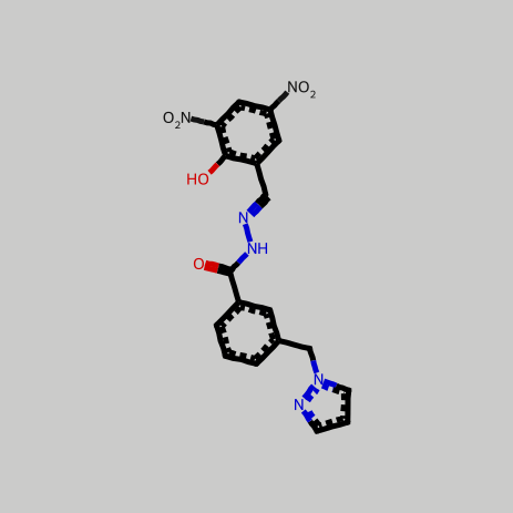 O=C(N/N=C/c1cc([N+](=O)[O-])cc([N+](=O)[O-])c1O)c1cccc(Cn2cccn2)c1